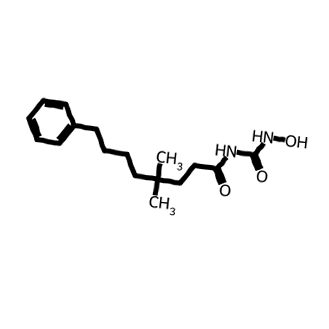 CC(C)(CCCCc1ccccc1)CCC(=O)NC(=O)NO